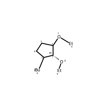 CCOC1CCC(C(C)CC)[C@H]1OCC